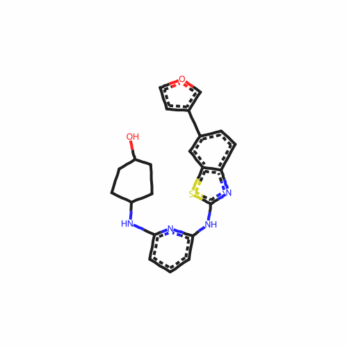 OC1CCC(Nc2cccc(Nc3nc4ccc(-c5ccoc5)cc4s3)n2)CC1